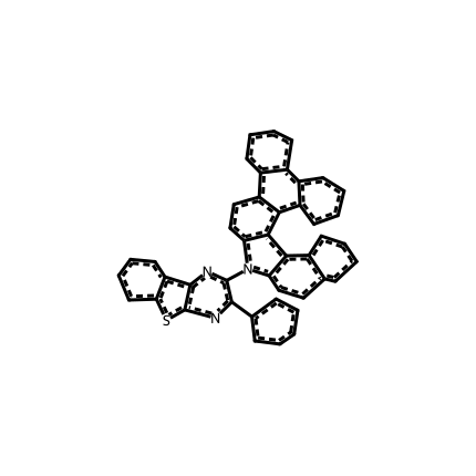 c1ccc(-c2nc3sc4ccccc4c3nc2-n2c3ccc4ccccc4c3c3c4c5ccccc5c5ccccc5c4ccc32)cc1